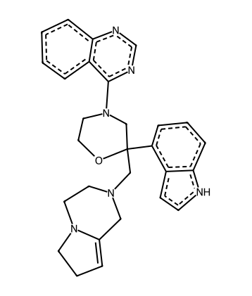 C1=C2CN(CC3(c4cccc5[nH]ccc45)CN(c4ncnc5ccccc45)CCO3)CCN2CC1